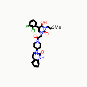 CSCCN1C(=O)N(CC(=O)N2CCC(N3CCc4ccccc4NC3=O)CC2)C=C(c2cccc(F)c2Cl)C1O